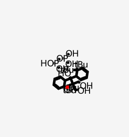 CC(C)(C)C1(C(C)(C)C)C=CC=CC1C(O)(C1C=CC=CC1(C(C)(C)C)C(C)(C)C)C(CO)(CO)CO.OP(O)OP(O)O